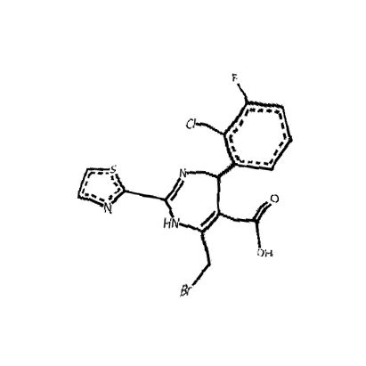 O=C(O)C1=C(CBr)NC(c2nccs2)=NC1c1cccc(F)c1Cl